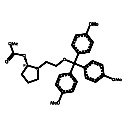 COC(=O)O[C@@H]1CCCN1CCOC(c1ccc(OC)cc1)(c1ccc(OC)cc1)c1ccc(OC)cc1